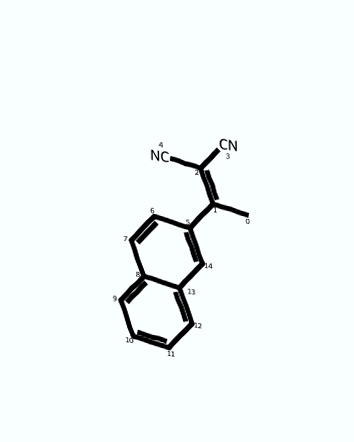 CC(=C(C#N)C#N)c1ccc2ccccc2c1